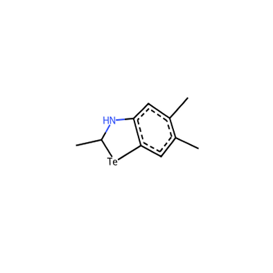 Cc1cc2c(cc1C)[Te]C(C)N2